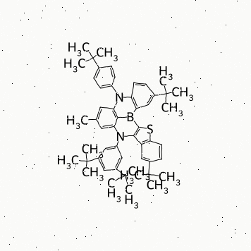 Cc1cc2c3c(c1)N(c1cc(C(C)(C)C)cc(C(C)(C)C)c1)c1c(sc4ccc(C(C)(C)C)cc14)B3c1cc(C(C)(C)C)ccc1N2c1ccc(C(C)(C)C)cc1